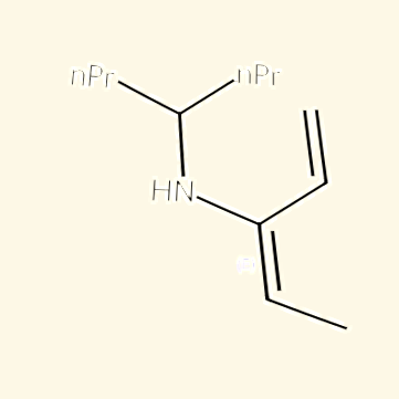 C=C/C(=C\C)NC(CCC)CCC